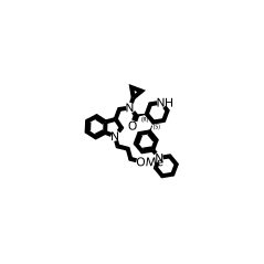 COCCCN1CC(CN(C(=O)[C@H]2CNCC[C@@H]2c2cccc(N3CCCCC3)c2)C2CC2)c2ccccc21